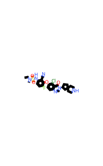 CCN(C)S(=O)(=O)Nc1ccc(F)c(Oc2ccc3ncn([C@H]4CCC5(CCNCC5)C4)c(=O)c3c2Cl)c1C#N